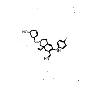 C=CC12CC(C=N)=C(Nc3ccc(F)cc3)C=C1CCN(SC1C=CCC(C#N)C1)C2